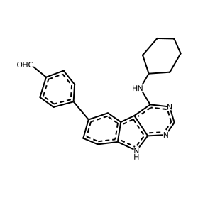 O=Cc1ccc(-c2ccc3[nH]c4ncnc(NC5CCCCC5)c4c3c2)cc1